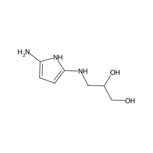 Nc1ccc(NCC(O)CO)[nH]1